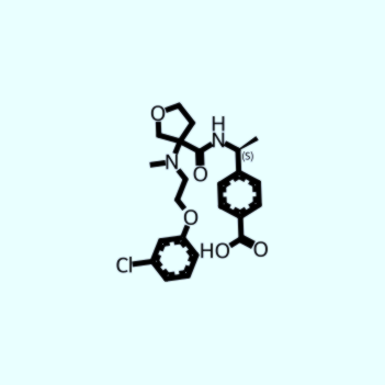 C[C@H](NC(=O)C1(N(C)CCOc2cccc(Cl)c2)CCOC1)c1ccc(C(=O)O)cc1